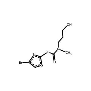 CN(CCCO)C(=O)Oc1nc(Br)cs1